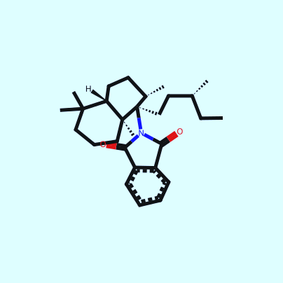 CC[C@@H](C)CC[C@@]1(N2C(=O)c3ccccc3C2=O)[C@@H](C)CC[C@H]2C(C)(C)CCC[C@@]21C